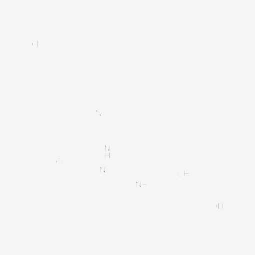 OCC(O)CNc1cccc(OC(Cc2cc(Cl)cc(Cl)c2)c2ncc[nH]2)n1